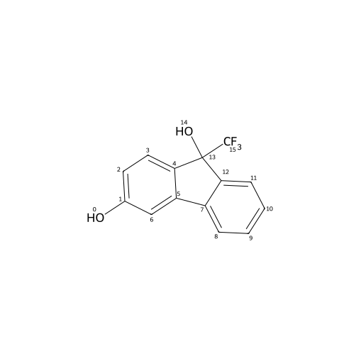 Oc1ccc2c(c1)-c1ccccc1C2(O)C(F)(F)F